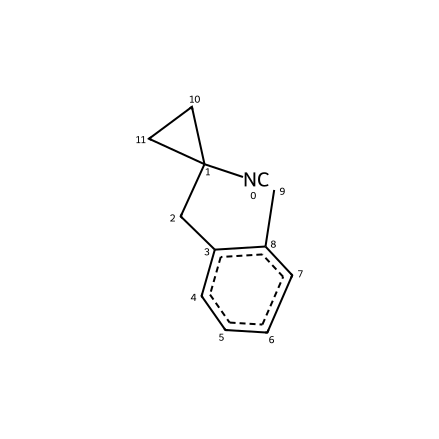 [C-]#[N+]C1(Cc2ccccc2C)CC1